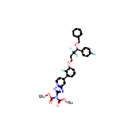 CC(C)(C)OC(=O)N(C(=O)OC(C)(C)C)c1nc2cc(-c3cccc(OCCC(F)(F)C(OCc4ccccc4)c4ccc(F)cc4)c3F)ccn2n1